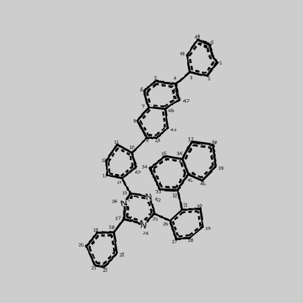 c1ccc(-c2ccc3cc(-c4cccc(-c5nc(-c6ccccc6)nc(-c6ccccc6-c6cccc7ccccc67)n5)c4)ccc3c2)cc1